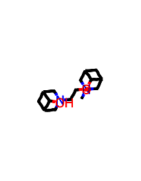 CN1CC2CC(C1)C2OCCN1CC2CC(C1)C2O